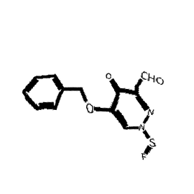 O=Cc1nn(SF)cc(OCc2ccccc2)c1=O